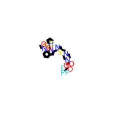 CCN(c1cccc2cc(-c3ncc(CN4CCN(C(=O)OC(=O)C(F)(F)F)CC4)s3)[nH]c12)S(=O)(=O)c1cccs1